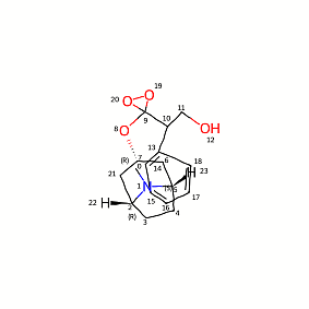 CN1[C@@H]2CC[C@H]1C[C@@H](OC1(C(CO)c3ccccc3)OO1)C2